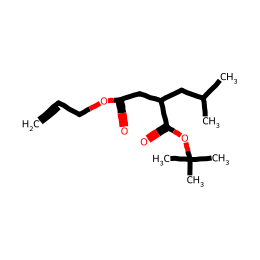 C=CCOC(=O)CC(CC(C)C)C(=O)OC(C)(C)C